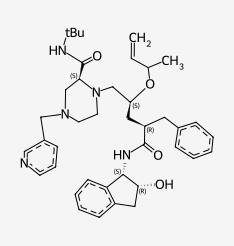 C=CC(C)O[C@@H](C[C@@H](Cc1ccccc1)C(=O)N[C@H]1c2ccccc2C[C@H]1O)CN1CCN(Cc2cccnc2)C[C@H]1C(=O)NC(C)(C)C